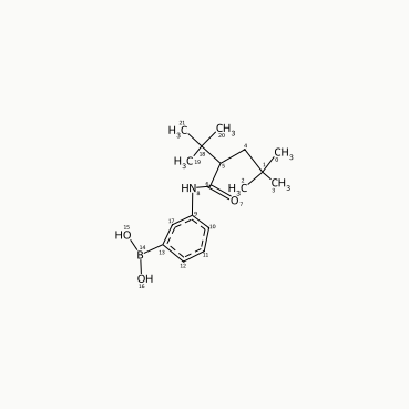 CC(C)(C)CC(C(=O)Nc1cccc(B(O)O)c1)C(C)(C)C